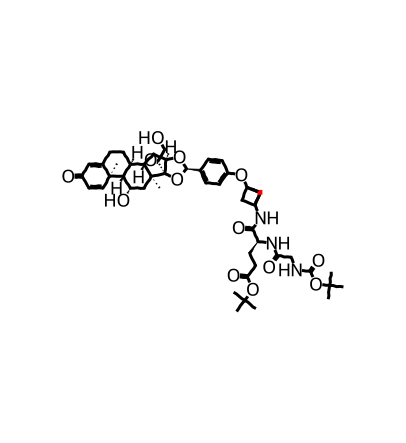 CC(C)(C)OC(=O)CC[C@H](NC(=O)CNC(=O)OC(C)(C)C)C(=O)NC12CC(Oc3ccc([C@@H]4O[C@@H]5C[C@H]6[C@@H]7CCC8=CC(=O)C=C[C@]8(C)[C@H]7[C@@H](O)C[C@]6(C)[C@]5(C(=O)CO)O4)cc3)(C1)C2